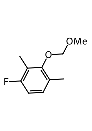 COCOc1c(C)ccc(F)c1C